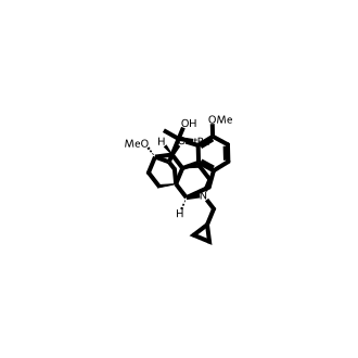 COc1ccc2c3c1O[C@H]1[C@]4(OC)CC[C@]5(CC4C(C)(O)C(C)(C)C)[C@@H](C2)N(CC2CC2)CC[C@]315